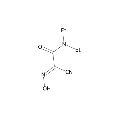 CCN(CC)C(=O)/C(C#N)=N/O